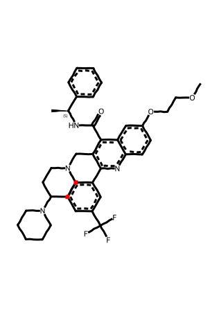 COCCOc1ccc2nc(-c3cccc(C(F)(F)F)c3)c(CN3CCC(N4CCCCC4)CC3)c(C(=O)N[C@@H](C)c3ccccc3)c2c1